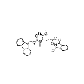 COC(=O)[C@H](CCC(=O)ON1C(=O)c2ccccc2C1=O)NC(=O)OCC1c2ccccc2C2C=CC=CC21